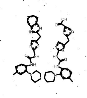 Cc1ccc(NC(=O)Nc2ncc(Cc3nc(C(=O)O)co3)s2)c(N2CCCCC2)c1.Cc1ccc(NC(=O)Nc2ncc(Cc3nc4ccccc4[nH]3)s2)c(N2CCCCC2)c1